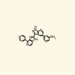 Nc1cncc(-c2cnc3[nH]nc(-c4nc5c(-c6ccncc6)nccc5[nH]4)c3c2)c1